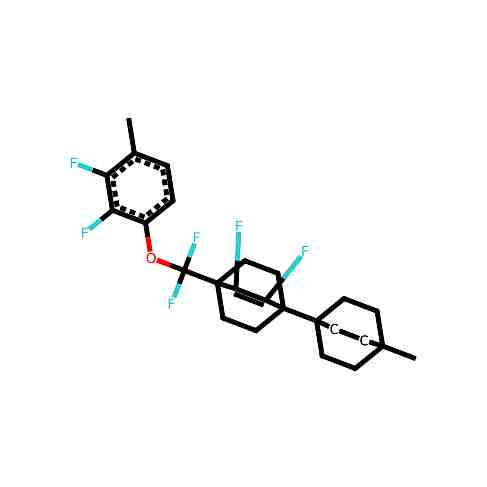 Cc1ccc(OC(F)(F)C23CCC(C45CCC(C)(CC4)CC5)(CC2)C(F)=C3F)c(F)c1F